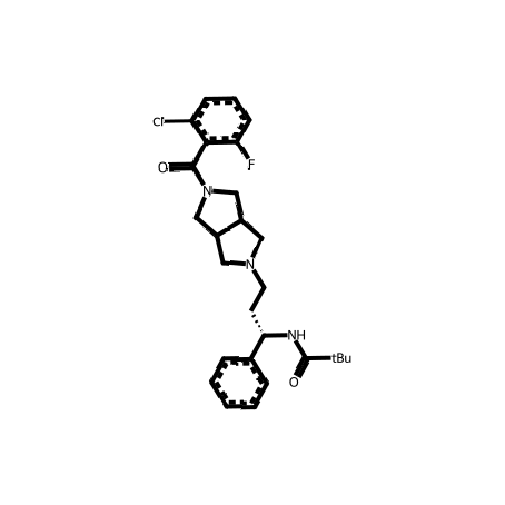 CC(C)(C)C(=O)N[C@@H](CCN1CC2CN(C(=O)c3c(F)cccc3Cl)CC2C1)c1ccccc1